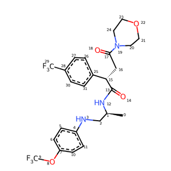 C[C@@H](CNc1ccc(OC(F)(F)F)cc1)NC(=O)[C@@H](CC(=O)N1CCOCC1)c1ccc(C(F)(F)F)cc1